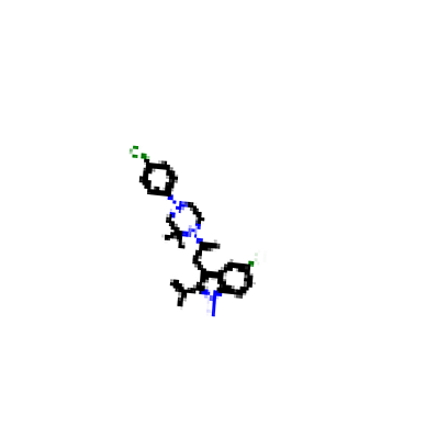 C=C(C)c1[nH]c2ccc(Cl)cc2c1CC(=C)N1CCN(c2ccc(Cl)cc2)CC1(C)C